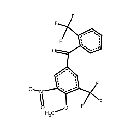 COc1c([N+](=O)[O-])cc(C(=O)c2ccccc2C(F)(F)F)cc1C(F)(F)F